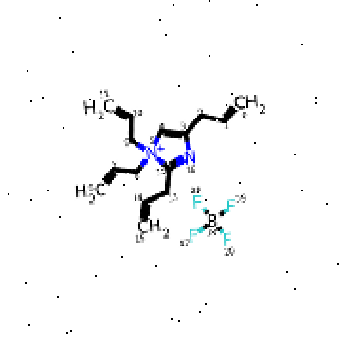 C=CCC1=C[N+](CC=C)(CC=C)C(CC=C)=N1.F[B-](F)(F)F